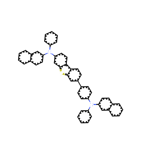 c1ccc(N(c2ccc(-c3ccc4c(c3)sc3cc(N(c5ccccc5)c5ccc6ccccc6c5)ccc34)cc2)c2ccc3ccccc3c2)cc1